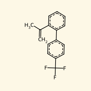 C=C(C)c1ccccc1-c1ccc(C(F)(F)F)cc1